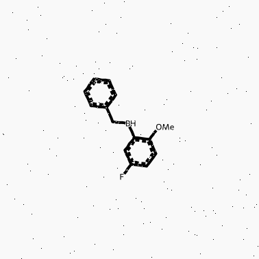 COc1ccc(F)cc1BCc1ccccc1